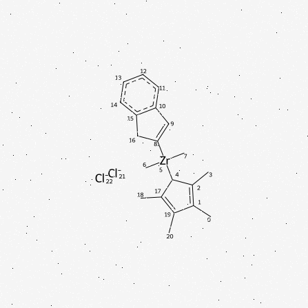 CC1=C(C)[CH]([Zr]([CH3])([CH3])[C]2=Cc3ccccc3C2)C(C)=C1C.[Cl-].[Cl-]